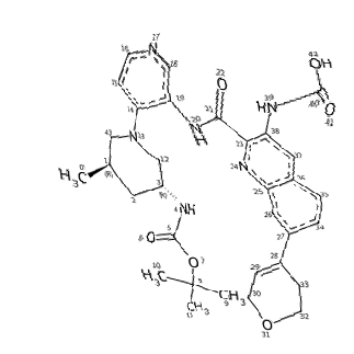 C[C@@H]1C[C@@H](NC(=O)OC(C)(C)C)CN(c2ccncc2NC(=O)c2nc3cc(C4=CCOCC4)ccc3cc2NC(=O)O)C1